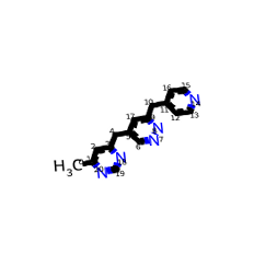 Cc1cc(Cc2cnnc(Cc3ccncc3)c2)ncn1